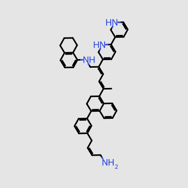 C/C(=C\C=C(/CNc1cccc2c1CCCC2)C1=CC=C(C2=CC=CNC2)NC1)C1=c2ccccc2=C(c2cccc(C/C=C\CN)c2)CC1